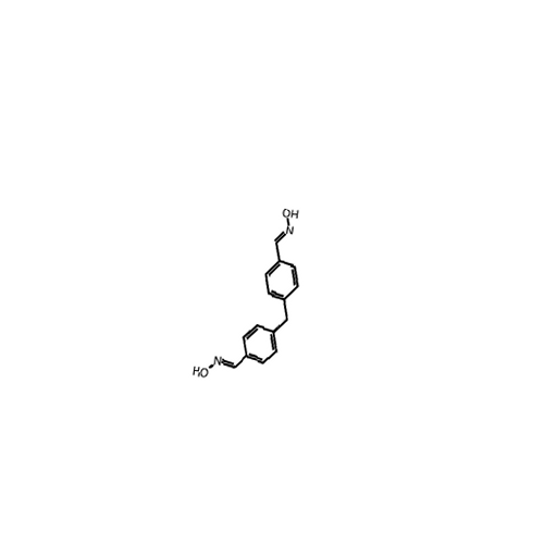 ON=Cc1ccc(Cc2ccc(C=NO)cc2)cc1